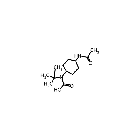 CC(=O)NC1CCC(N(C(=O)O)C(C)(C)C)CC1